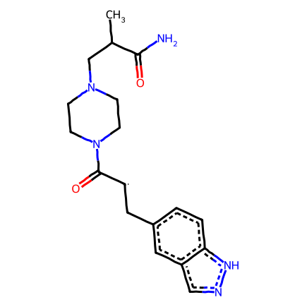 CC(CN1CCN(C(=O)[CH]Cc2ccc3[nH]ncc3c2)CC1)C(N)=O